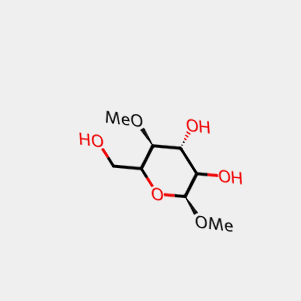 CO[C@H]1OC(CO)[C@@H](OC)[C@H](O)C1O